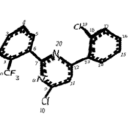 FC(F)(F)c1ccccc1-c1nc(Cl)cc(-c2ccccc2Cl)n1